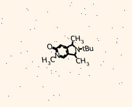 CC1c2cc(=O)n(C)cc2C(C)N1C(C)(C)C